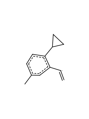 C=[C]c1cc(C)ccc1C1CC1